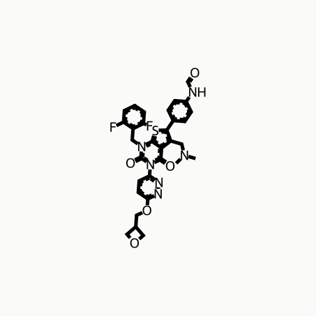 CN(C)Cc1c(-c2ccc(NC=O)cc2)sc2c1c(=O)n(-c1ccc(OCC3COC3)nn1)c(=O)n2Cc1c(F)cccc1F